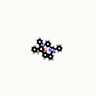 c1ccc(-c2cc(-c3cccc(-n4c5ccccc5c5c6c7ccccc7sc6c6c7ccccc7oc6c54)c3)nc(-c3ccccc3)n2)cc1